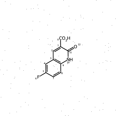 O=C(O)c1cc2cc(F)ccc2[nH]c1=O